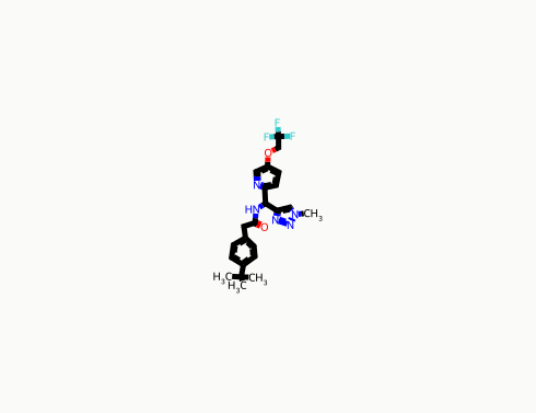 Cn1cc(C(NC(=O)Cc2ccc(C(C)(C)C)cc2)c2ccc(OCC(F)(F)F)cn2)nn1